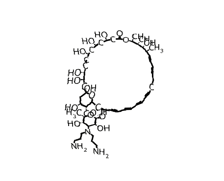 C[C@@H]1[C@H](O)[C@@H](C)/C=C/C=C/CC/C=C/C=C/C=C/C=C/[C@H](O[C@@H]2O[C@H](C)[C@@H](O)[C@H](N(CCCN)CCCN)[C@@H]2O)CC2O[C@](O)(C[C@@H](O)[C@H](O)CC[C@@H](O)C[C@@H](O)C[C@@H](O)CC(=O)O[C@H]1C)C[C@H](O)[C@H]2C(=O)O